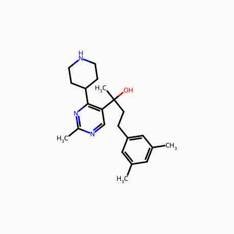 Cc1cc(C)cc(CCC(C)(O)c2cnc(C)nc2C2CCNCC2)c1